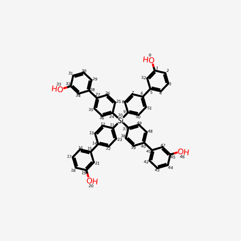 Oc1cccc(-c2ccc([Si](c3ccc(-c4cccc(O)c4)cc3)(c3ccc(-c4cccc(O)c4)cc3)c3ccc(-c4cccc(O)c4)cc3)cc2)c1